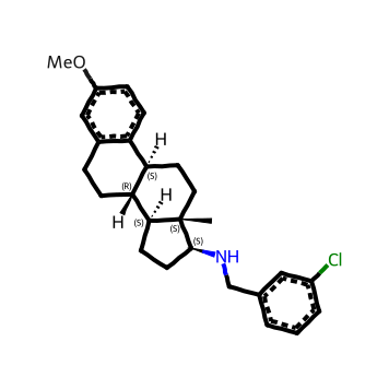 COc1ccc2c(c1)CC[C@@H]1[C@@H]2CC[C@]2(C)[C@@H](NCc3cccc(Cl)c3)CC[C@@H]12